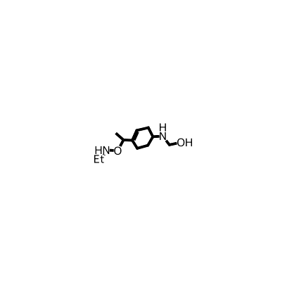 CCNOC(C)C1=CCC(NCO)CC1